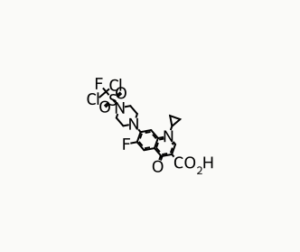 O=C(O)c1cn(C2CC2)c2cc(N3CCN(S(=O)(=O)C(F)(Cl)Cl)CC3)c(F)cc2c1=O